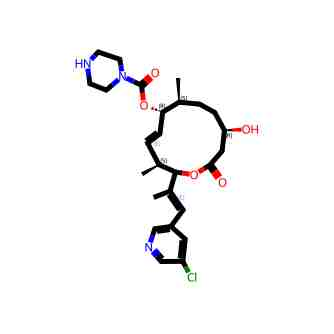 C/C(=C\c1cncc(Cl)c1)C1OC(=O)C[C@H](O)CC[C@H](C)[C@@H](OC(=O)N2CCNCC2)/C=C/[C@@H]1C